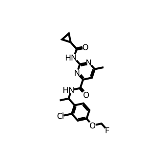 Cc1cc(C(=O)NC(C)c2ccc(OCF)cc2Cl)nc(NC(=O)C2CC2)n1